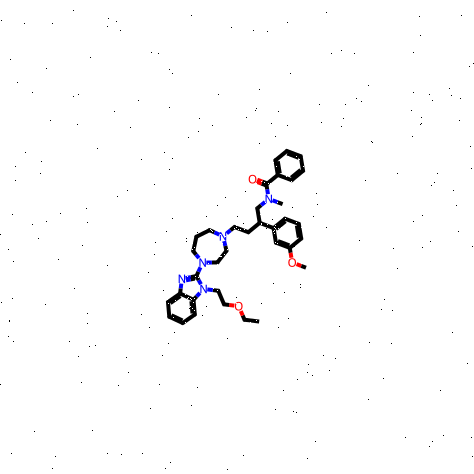 CCOCCn1c(N2CCCN(CCC(CN(C)C(=O)c3ccccc3)c3cccc(OC)c3)CC2)nc2ccccc21